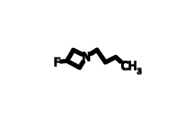 CCCCN1CC(F)C1